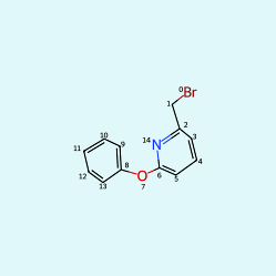 BrCc1cccc(Oc2ccccc2)n1